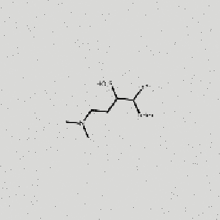 CCCCCCC(CCC)C(CCN(C)C)S(=O)(=O)O